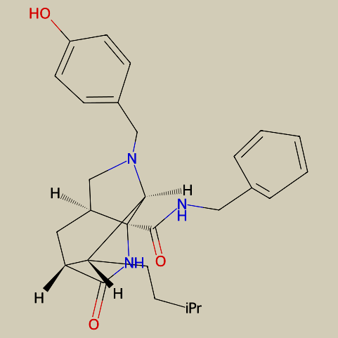 CC(C)CC[C@H]1[C@@H]2N(Cc3ccc(O)cc3)C[C@@H]3C[C@H]1C(=O)N[C@@]32C(=O)NCc1ccccc1